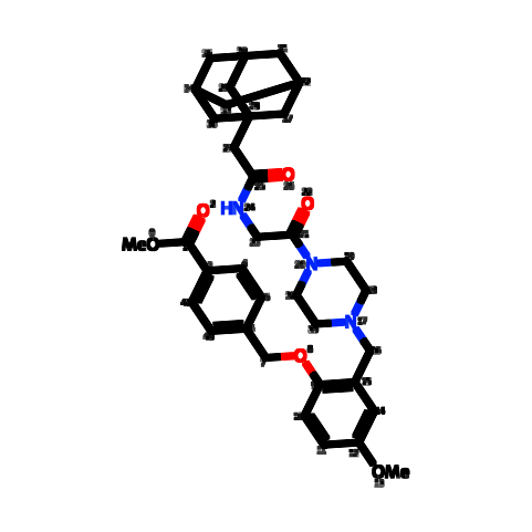 COC(=O)c1ccc(COc2ccc(OC)cc2CN2CCN(C(=O)CNC(=O)CC34CC5CC(CC(C5)C3)C4)CC2)cc1